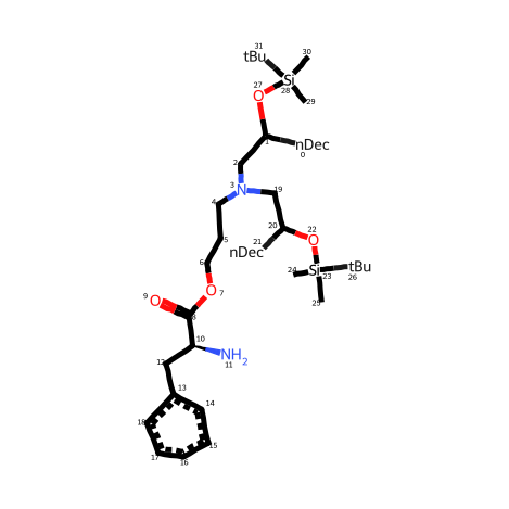 CCCCCCCCCCC(CN(CCCOC(=O)[C@@H](N)Cc1ccccc1)CC(CCCCCCCCCC)O[Si](C)(C)C(C)(C)C)O[Si](C)(C)C(C)(C)C